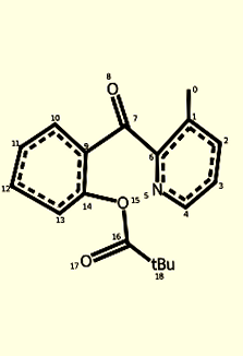 Cc1cccnc1C(=O)c1ccccc1OC(=O)C(C)(C)C